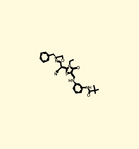 CCn1c(=C(C#N)C2=N[C@@H](Cc3ccccc3)CO2)sc(=CNc2cccc(NC(=O)C(C)(C)C)c2)c1=O